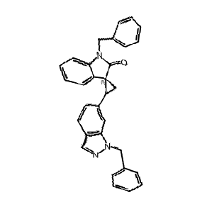 O=C1N(Cc2ccccc2)c2ccccc2[C@]12CC2c1ccc2cnn(Cc3ccccc3)c2c1